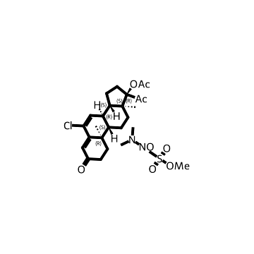 CC(=O)O[C@]1(C(C)=O)CC[C@H]2[C@@H]3C=C(Cl)C4=CC(=O)CC[C@]4(C)[C@H]3CC[C@@]21C.CN(C)N=O.COS(C)(=O)=O